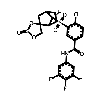 O=C(Nc1cc(F)c(F)c(F)c1)c1ccc(Cl)c(S(=O)(=O)[C@@H]2C3CCC2[C@@]2(COS(=O)O2)C3)c1